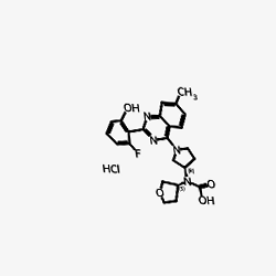 Cc1ccc2c(N3CC[C@@H](N(C(=O)O)[C@H]4CCOC4)C3)nc(-c3c(O)cccc3F)nc2c1.Cl